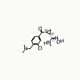 CN/C(=N\O)[C@H]1C[C@@H]1C(=O)c1ccc(CN(C)C)c(Cl)c1